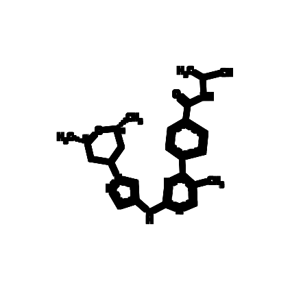 Cc1cnc(Nc2cnn(C3C[C@@H](C)O[C@@H](C)C3)c2)nc1-c1ccc(C(=O)NC(C)C#N)cc1